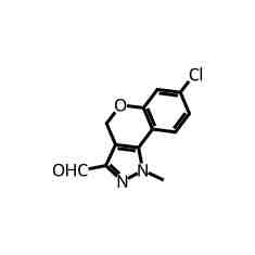 Cn1nc(C=O)c2c1-c1ccc(Cl)cc1OC2